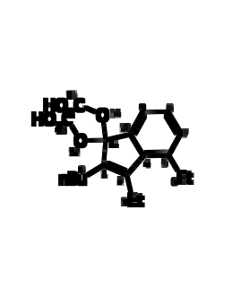 CCCCC1=C(CC)c2c(CC)cccc2C1(OC(=O)O)OC(=O)O